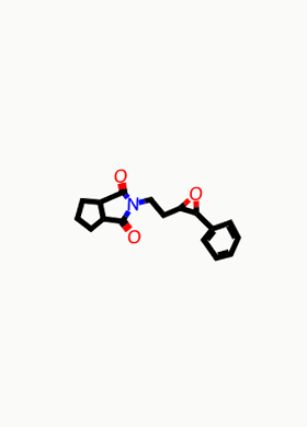 O=C1C2CCCC2C(=O)N1CCC1OC1c1ccccc1